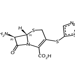 N[C@@H]1C(=O)N2C(C(=O)O)=C(Sc3cnns3)CS[C@@H]12